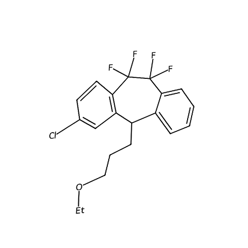 CCOCCCC1c2ccccc2C(F)(F)C(F)(F)c2ccc(Cl)cc21